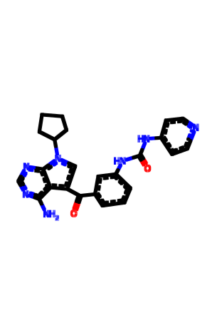 Nc1ncnc2c1c(C(=O)c1cccc(NC(=O)Nc3ccncc3)c1)cn2C1CCCC1